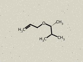 C=CCO[C@H](C)C(C)C